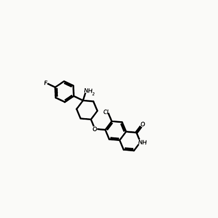 NC1(c2ccc(F)cc2)CCC(Oc2cc3cc[nH]c(=O)c3cc2Cl)CC1